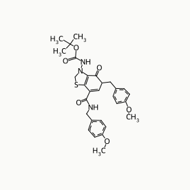 COc1ccc(CNC(=O)C2=CC(Cc3ccc(OC)cc3)C(=O)C3=C2SCN3NC(=O)OC(C)(C)C)cc1